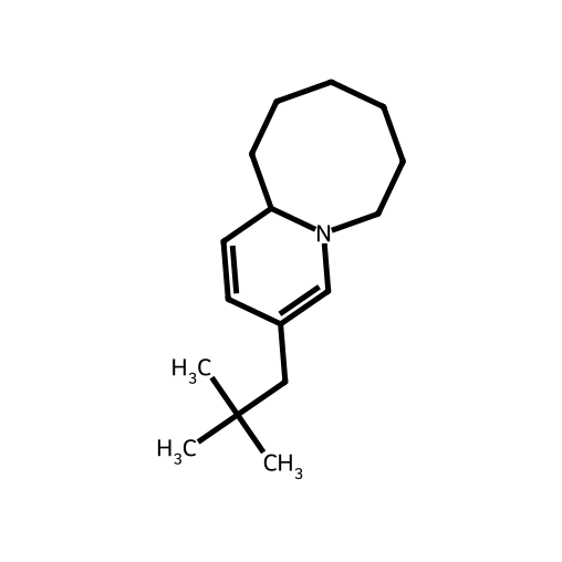 CC(C)(C)CC1=CN2CCCCCCC2C=C1